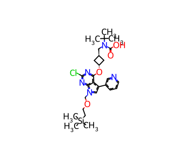 CC(C)(C)N(C[C@H]1C[C@H](Oc2nc(Cl)nc3c2c(-c2cccnc2)cn3COCC[Si](C)(C)C)C1)C(=O)O